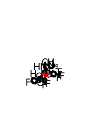 CC(Nc1cc(C[N+]2(S(=O)(=O)c3ccc(F)cc3)CC(F)(F)C[C@H]2C(N)=O)cc(-c2ccc(C(F)(F)F)cc2)n1)c1ccccn1